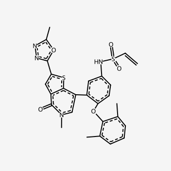 C=CS(=O)(=O)Nc1ccc(Oc2c(C)cccc2C)c(-c2cn(C)c(=O)c3cc(-c4nnc(C)o4)sc23)c1